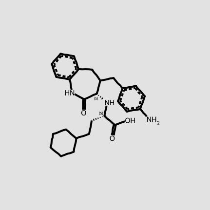 Nc1ccc(CC2Cc3ccccc3NC(=O)[C@H]2N[C@@H](CCC2CCCCC2)C(=O)O)cc1